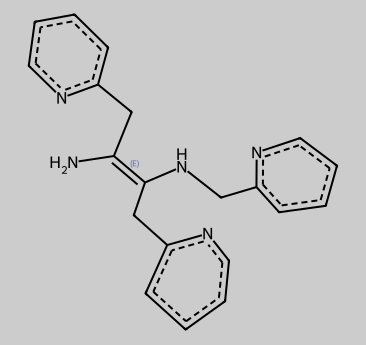 N/C(Cc1ccccn1)=C(\Cc1ccccn1)NCc1ccccn1